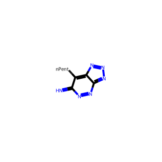 CCCCCC1=C2N=NN=C2N=NC1=N